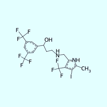 Cc1[nH]c(CNCCC(O)c2cc(C(F)(F)F)cc(C(F)(F)F)c2)c(C(F)(F)F)c1I